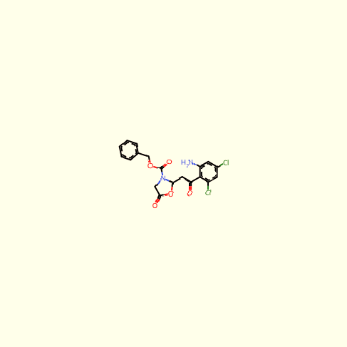 Nc1cc(Cl)cc(Cl)c1C(=O)CC1OC(=O)CN1C(=O)OCc1ccccc1